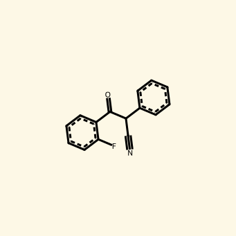 N#CC(C(=O)c1ccccc1F)c1ccccc1